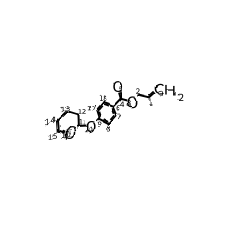 C=CCOC(=O)c1ccc(OC2CCCCO2)cc1